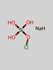 O[Si](O)(O)OCl.[NaH]